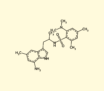 Cc1cc(C)c(S(=O)(=O)NC(Cc2c[nH]c3c(N)cc(C)cc23)C(F)(F)F)c(N(C)C)c1